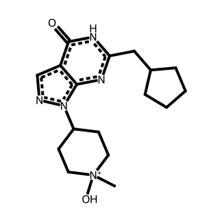 C[N+]1(O)CCC(n2ncc3c(=O)[nH]c(CC4CCCC4)nc32)CC1